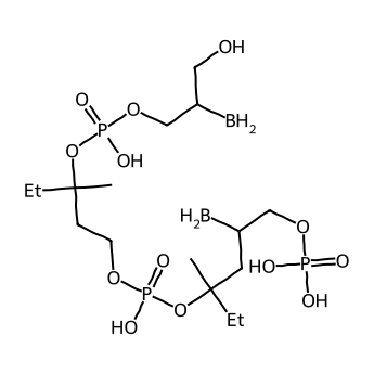 BC(CO)COP(=O)(O)OC(C)(CC)CCOP(=O)(O)OC(C)(CC)CC(B)COP(=O)(O)O